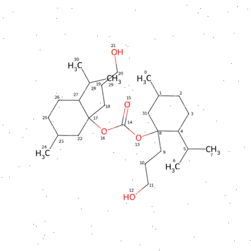 CC1CCC(C(C)C)C(CCCO)(OC(=O)OC2(CCCO)CC(C)CCC2C(C)C)C1